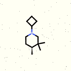 C[C@H]1CCN(C2CCC2)CC1(C)C